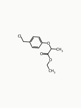 CCOC(=O)C(C)Oc1ccc(CCl)cc1